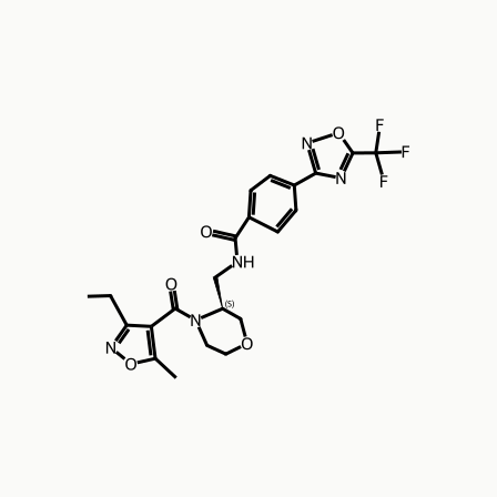 CCc1noc(C)c1C(=O)N1CCOC[C@@H]1CNC(=O)c1ccc(-c2noc(C(F)(F)F)n2)cc1